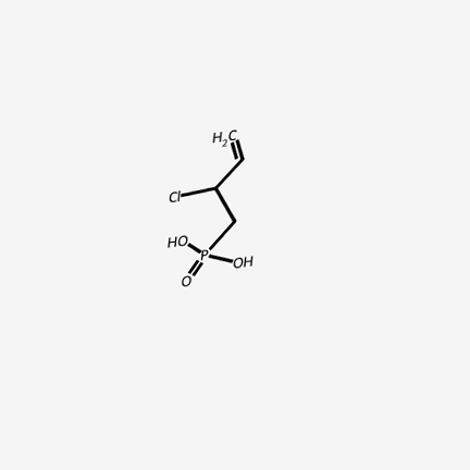 C=CC(Cl)CP(=O)(O)O